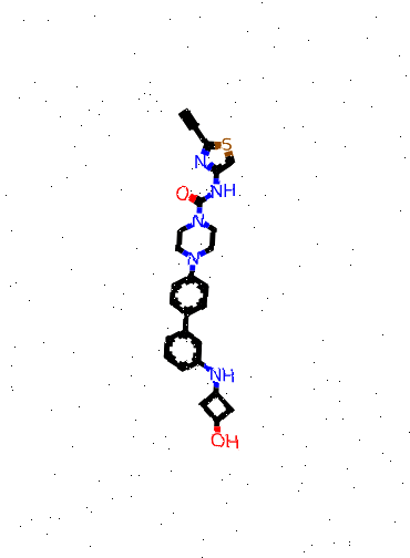 C#Cc1nc(NC(=O)N2CCN(c3ccc(-c4cccc(NC5CC(O)C5)c4)cc3)CC2)cs1